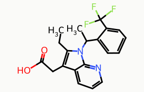 CCc1c(CC(=O)O)c2cccnc2n1C(C)c1ccccc1C(F)(F)F